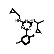 CC(Nc1nc(NCC2CC2)nc(-c2cc(F)ccc2F)n1)C1CC1